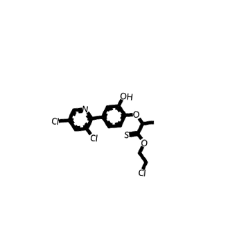 CC(Oc1ccc(-c2ncc(Cl)cc2Cl)cc1O)C(=S)OCCCl